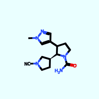 Cn1cc(C2CCN(C(N)=O)C2[C@@H]2CCN(C#N)C2)cn1